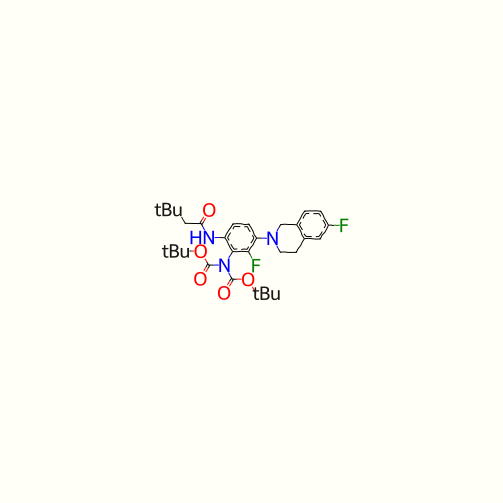 CC(C)(C)CC(=O)Nc1ccc(N2CCc3cc(F)ccc3C2)c(F)c1N(C(=O)OC(C)(C)C)C(=O)OC(C)(C)C